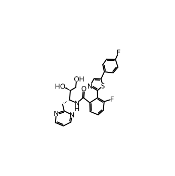 O=C(N[C@H](Cc1ncccn1)[C@@H](O)CO)c1cccc(F)c1-c1ncc(-c2ccc(F)cc2)s1